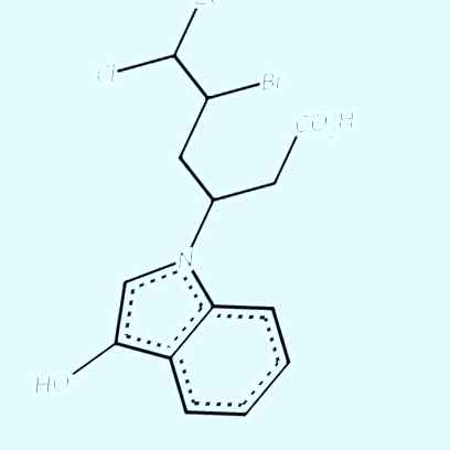 CCC(Cl)C(Br)CC(CC(=O)O)n1cc(O)c2ccccc21